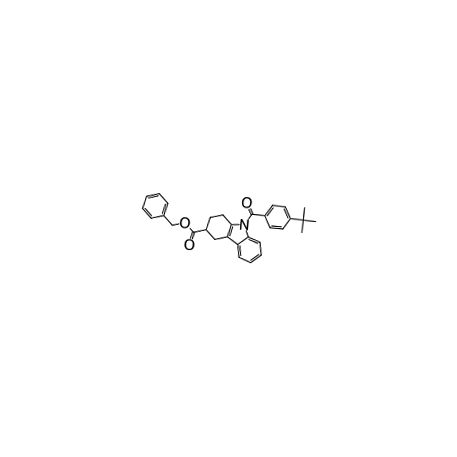 CC(C)(C)c1ccc(C(=O)n2c3c(c4ccccc42)CC(C(=O)OCc2ccccc2)CC3)cc1